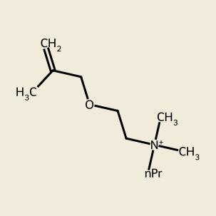 C=C(C)COCC[N+](C)(C)CCC